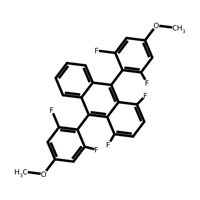 COc1cc(F)c(-c2c3ccccc3c(-c3c(F)cc(OC)cc3F)c3c(F)ccc(F)c23)c(F)c1